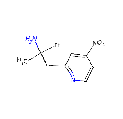 CCC(C)(N)Cc1cc([N+](=O)[O-])ccn1